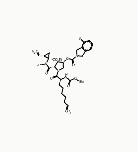 C=CCCCCC[C@H](NC(=O)OC(C)(C)C)C(=O)N1C[C@H](OC(=O)N2Cc3cccc(F)c3C2)C[C@H]1C(=O)N(C(C)=O)[C@]1(C(=O)OCC)C[C@H]1C=C